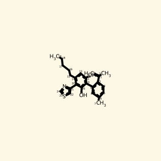 C=C(C)c1ccc(C)cc1-c1c(O)cc(CCCCC)c(-c2cscn2)c1O